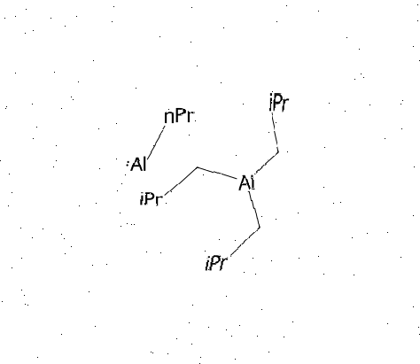 CC(C)[CH2][Al]([CH2]C(C)C)[CH2]C(C)C.CC[CH2][Al]